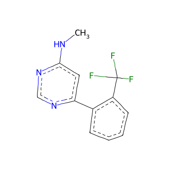 CNc1cc(-c2ccccc2C(F)(F)F)ncn1